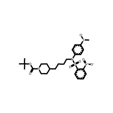 C[S+]([O-])c1ccc(N(CCCCC2CCN(C(=O)OC(C)(C)C)CC2)S(=O)(=O)c2ccccc2[N+](=O)[O-])cc1